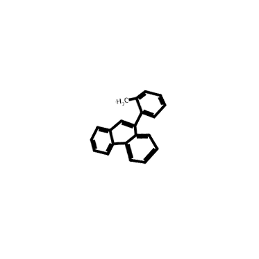 [CH2]c1ccccc1-c1cc2ccccc2c2ccccc12